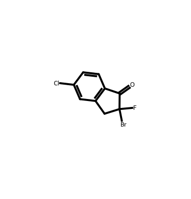 O=C1c2ccc(Cl)cc2CC1(F)Br